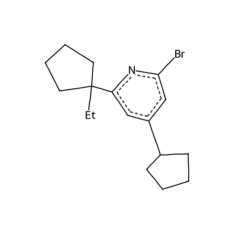 CCC1(c2cc(C3CCCC3)cc(Br)n2)CCCC1